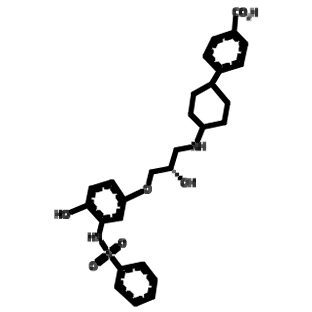 O=C(O)c1ccc(C2CCC(NC[C@H](O)COc3ccc(O)c(NS(=O)(=O)c4ccccc4)c3)CC2)cc1